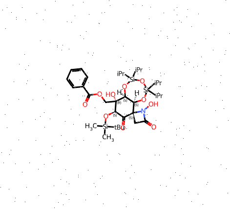 CC(C)[Si]1(C(C)C)O[C@@H]2[C@H](O[Si](C(C)C)(C(C)C)O1)[C@](O)(COC(=O)c1ccccc1)[C@H](O[Si](C)(C)C(C)(C)C)C(=O)[C@]21CC(=O)N1O